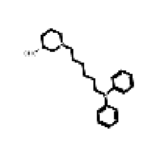 O=[C][C@@H]1CCCN(CCCCCCN(c2ccccc2)c2ccccc2)C1